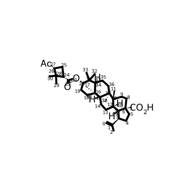 C=C(C)[C@@H]1CC[C@]2(C(=O)O)CC[C@]3(C)[C@H](CC[C@@H]4[C@@]5(C)CC[C@H](OC(=O)[C@H]6C[C@@H](C(C)=O)C6(C)C)C(C)(C)[C@@H]5CC[C@]43C)[C@@H]12